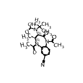 CC(=O)N1C(=O)[C@@H](N(C(=O)O)C(C)(C)C)[C@H](C)N(C(C)=O)c2cc(C#N)ccc21